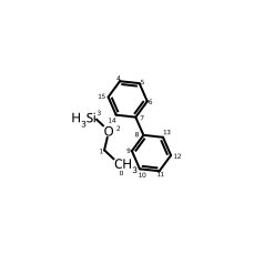 CCO[SiH3].c1ccc(-c2ccccc2)cc1